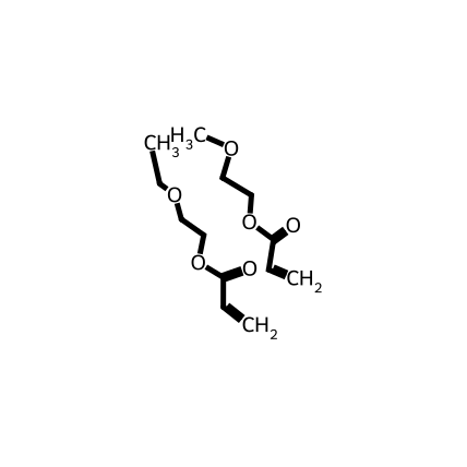 C=CC(=O)OCCOC.C=CC(=O)OCCOCC